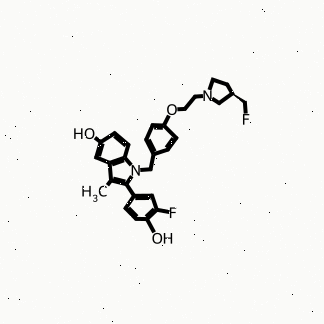 Cc1c(-c2ccc(O)c(F)c2)n(Cc2ccc(OCCN3CC[C@@H](CF)C3)cc2)c2ccc(O)cc12